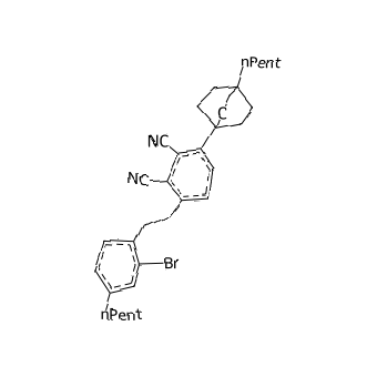 CCCCCc1ccc(CCc2ccc(C34CCC(CCCCC)(CC3)CC4)c(C#N)c2C#N)c(Br)c1